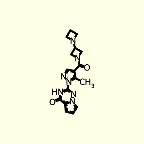 Cc1c(C(=O)N2CC(N3CCC3)C2)cnn1-c1nn2cccc2c(=O)[nH]1